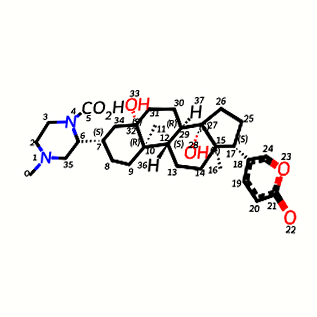 CN1CCN(C(=O)O)C([C@H]2CC[C@]3(C)[C@H]4CC[C@]5(C)[C@@H](c6ccc(=O)oc6)CC[C@]5(O)[C@@H]4CC[C@]3(O)C2)C1